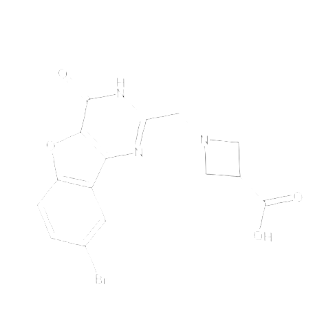 O=C(O)C1CN(Cc2nc3c(oc4ccc(Br)cc43)c(=O)[nH]2)C1